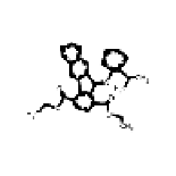 CCOC(=O)c1ccc(C(=O)OCC)c2c1C(=Nc1ccccc1C(C)C)c1cc3ccccc3cc1-2